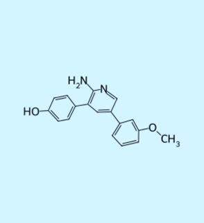 COc1cccc(-c2cnc(N)c(-c3ccc(O)cc3)c2)c1